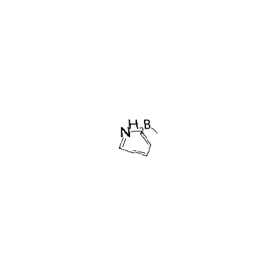 BC.c1ccncc1